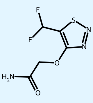 NC(=O)COc1nnsc1C(F)F